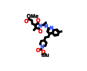 COC(=O)CCC1=C(C)C(=O)N(C2CN2c2cc(CCC3CCN(C(=O)OC(C)(C)C)CC3)c3ccc(C)cc3n2)C1=O